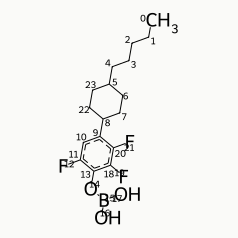 CCCCCC1CCC(c2cc(F)c(OB(O)O)c(F)c2F)CC1